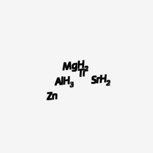 [AlH3].[MgH2].[SrH2].[Ti].[Zn]